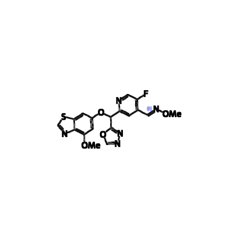 CO/N=C/c1cc(C(Oc2cc(OC)c3ncsc3c2)c2nnco2)ncc1F